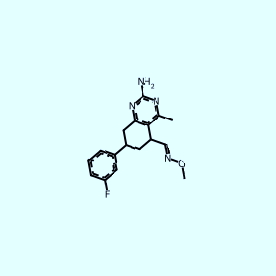 CON=CC1CC(c2cccc(F)c2)Cc2nc(N)nc(C)c21